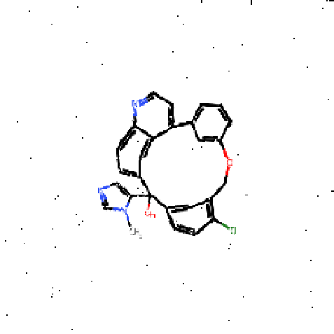 Cn1cncc1C1(O)c2ccc(Cl)c(c2)COc2cccc(c2)-c2ccnc3ccc1cc23